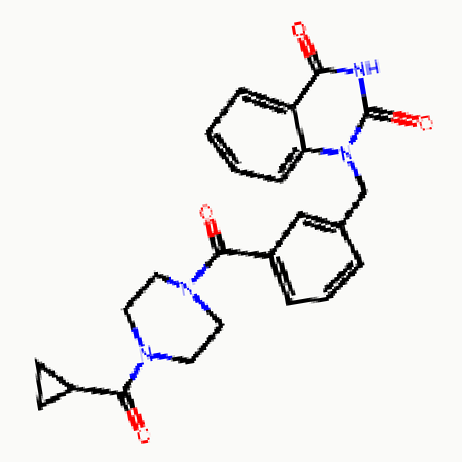 O=C(c1cccc(Cn2c(=O)[nH]c(=O)c3ccccc32)c1)N1CCN(C(=O)C2CC2)CC1